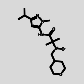 CC(C)c1cc(NC(=O)C(C)(C)[S+]([O-])CC2CCOCC2)n(C)n1